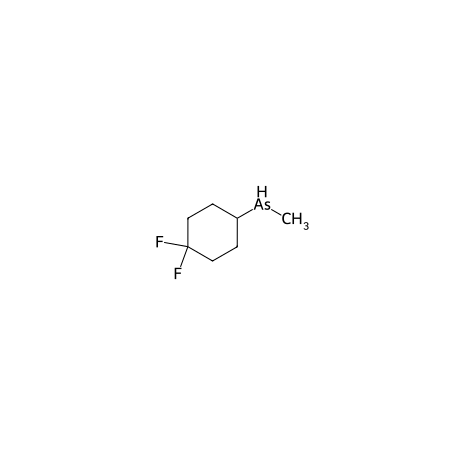 C[AsH]C1CCC(F)(F)CC1